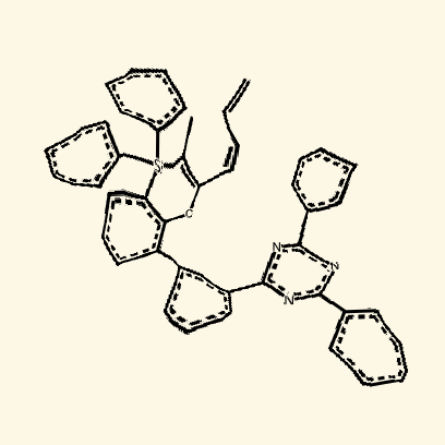 C=C/C=C\C1=C(C)[Si](c2ccccc2)(c2ccccc2)c2cccc(-c3cccc(-c4nc(-c5ccccc5)nc(-c5ccccc5)n4)c3)c2O1